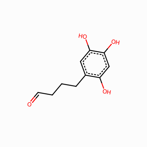 O=CCCCc1cc(O)c(O)cc1O